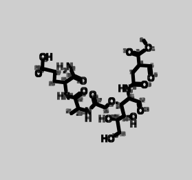 COC(=O)C(C=O)CC(=O)N[C@@H](C=O)[C@@H](OCC(=O)NC(C)C(=O)NC(CCC(=O)O)C(N)=O)[C@H](O)[C@H](O)CO